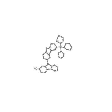 N#Cc1ccc2c3ccccc3n(-c3ccc4sc5ccc([Si](c6ccccc6)(c6ccccc6)c6ccccc6)cc5c4c3)c2c1